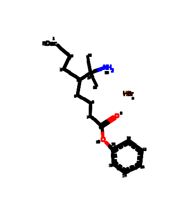 Br.CCCCCCCCCCCCC(CCCC(=O)Oc1ccccc1)C(C)(C)N